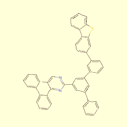 c1ccc(-c2cc(-c3cccc(-c4ccc5c(c4)sc4ccccc45)c3)cc(-c3ncc4c5ccccc5c5ccccc5c4n3)c2)cc1